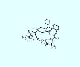 CC1CN(C(=O)C2=Cc3ccccc3C3C(C4CCCCC4)c4ccc(C(=O)NS(=O)(=O)N(C)C)cc4N3C2)CC(C)N1